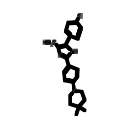 CC1(C)CCN(c2ccc(-c3nc(C(=O)O)c(-c4ccc(Cl)cc4)[nH]3)cc2)CC1